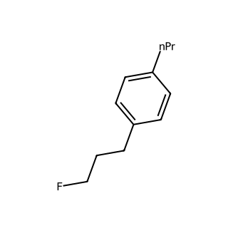 CCCc1ccc(CCCF)cc1